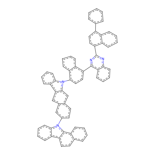 c1ccc(-c2ccc(-c3nc(-c4ccc(-n5c6ccccc6c6cc7cc(-n8c9ccccc9c9ccc%10ccccc%10c98)ccc7cc65)c5ccccc45)c4ccccc4n3)c3ccccc23)cc1